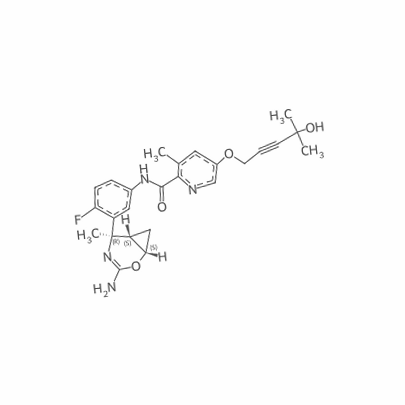 Cc1cc(OCC#CC(C)(C)O)cnc1C(=O)Nc1ccc(F)c([C@]2(C)N=C(N)O[C@H]3C[C@H]32)c1